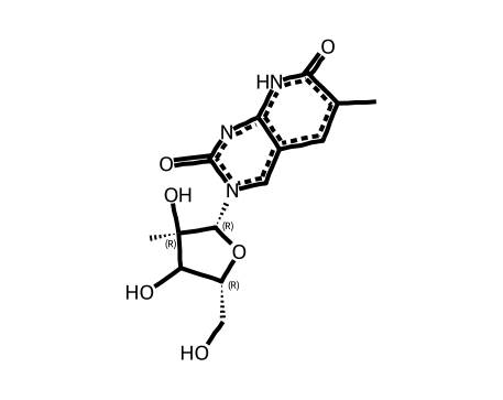 Cc1cc2cn([C@@H]3O[C@H](CO)C(O)[C@@]3(C)O)c(=O)nc2[nH]c1=O